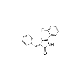 O=C1NC(c2ccccc2F)=NC1=Cc1ccccc1